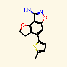 Cc1ccc(-c2cc3onc(N)c3c3c2CCO3)s1